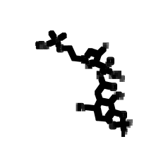 CC(C)c1cc2c(c(C(C)C)c1CC(=O)N=S(N)(=O)c1nn(CCO[Si](C)(C)C(C)(C)C)cc1F)OC(F)(F)O2